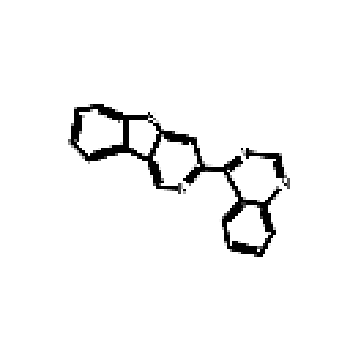 c1ccc2c(-c3cc4sc5ccccc5c4cn3)ncnc2c1